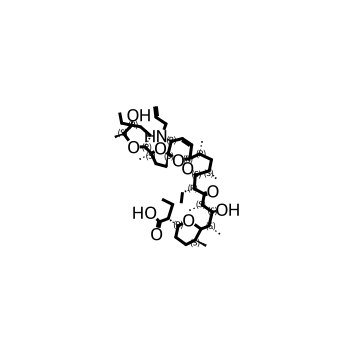 C=CCN[C@@H]1C=C[C@]2(O[C@H]([C@@H](CC)C(=O)[C@@H](C)[C@@H](O)[C@H](C)C3O[C@@H](C(CC)C(=O)O)CC[C@@H]3C)[C@@H](C)C[C@H]2C)O[C@@]12CC[C@@](C)([C@H]1CC[C@](O)(CC)[C@H](C)O1)O2